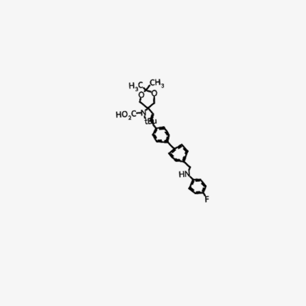 CC1(C)OCC(C=Cc2ccc(-c3ccc(CNc4ccc(F)cc4)cc3)cc2)(N(C(=O)O)C(C)(C)C)CO1